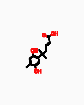 Cc1cc(O)c(C(C)(C)CC=CC(=O)O)cc1O